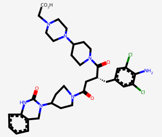 Nc1c(Cl)cc(C[C@H](CC(=O)N2CCC(N3Cc4ccccc4NC3=O)CC2)C(=O)N2CCC(N3CCN(CC(=O)O)CC3)CC2)cc1Cl